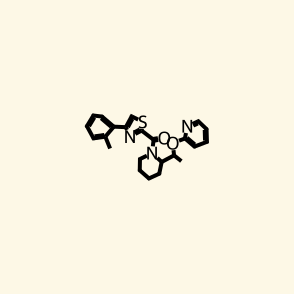 Cc1ccccc1-c1csc(C(=O)N2CCCCC2C(C)Oc2ccccn2)n1